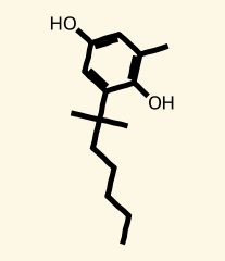 CCCCCC(C)(C)c1cc(O)cc(C)c1O